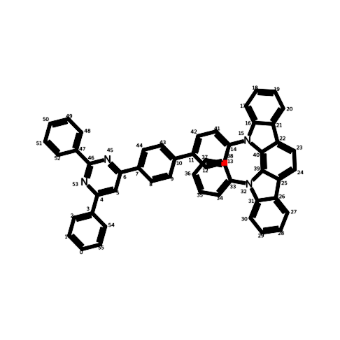 c1ccc(-c2cc(-c3ccc(-c4ccc(-n5c6ccccc6c6ccc7c8ccccc8n(-c8ccccc8)c7c65)cc4)cc3)nc(-c3ccccc3)n2)cc1